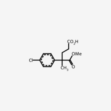 COC(=O)C(C)(CCC(=O)O)c1ccc(Cl)cc1